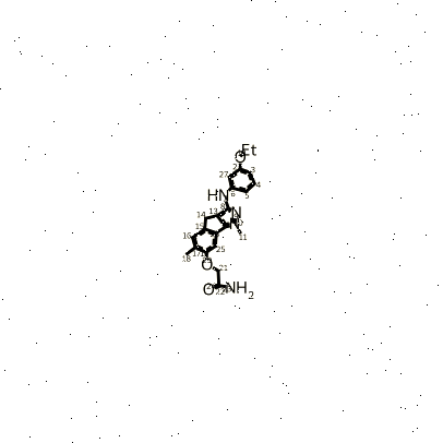 CCOc1cccc(Nc2nn(C)c3c2Cc2cc(C)c(OCC(N)=O)cc2-3)c1